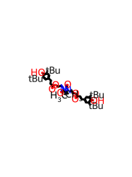 CC(C)(C)c1cc(CCC(=O)OCCN2C(=O)N(CCOC(=O)CCc3cc(C(C)(C)C)c(O)c(C(C)(C)C)c3)C(C)(C)C2=O)cc(C(C)(C)C)c1O